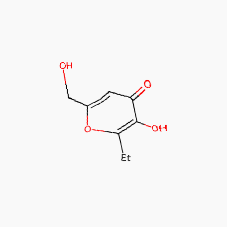 CCc1oc(CO)cc(=O)c1O